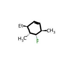 CC[C@H]1C=C[C@@H](C)[C@H](F)[C@@H]1C